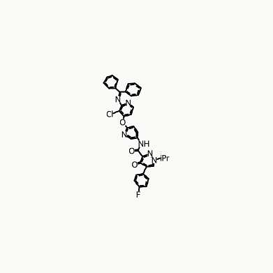 CC(C)n1cc(-c2ccc(F)cc2)c(=O)c(C(=O)Nc2ccc(Oc3ccnc(N=C(c4ccccc4)c4ccccc4)c3Cl)nc2)n1